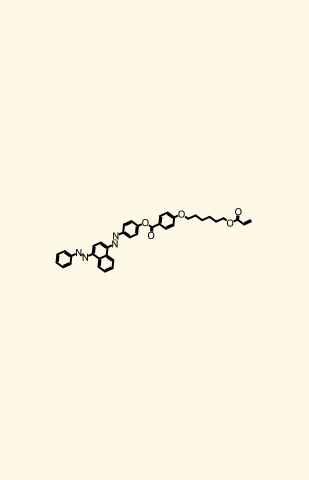 C=CC(=O)OCCCCCCOc1ccc(C(=O)Oc2ccc(/N=N/c3ccc(/N=N/c4ccccc4)c4ccccc34)cc2)cc1